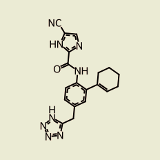 N#Cc1cnc(C(=O)Nc2ccc(Cc3nnn[nH]3)cc2C2=CCCCC2)[nH]1